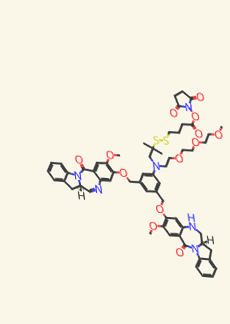 COCCOCCOCCN(CC(C)(C)SSCCCC(=O)ON1C(=O)CCC1=O)c1cc(COc2cc3c(cc2OC)C(=O)N2c4ccccc4C[C@H]2C=N3)cc(COc2cc3c(cc2OC)C(=O)N2c4ccccc4C[C@H]2CN3)c1